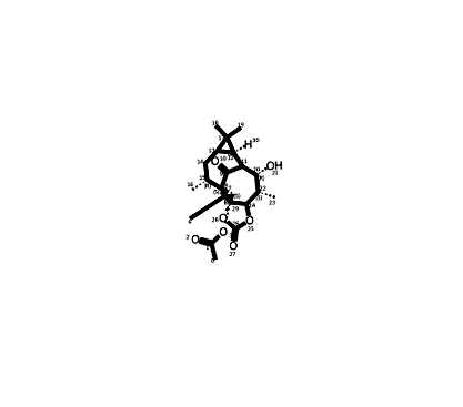 CC(=O)O[C@H]1C(C)=C[C@@]23C(=O)C([C@H]4C(C[C@H]2C)C4(C)C)[C@H](O)[C@H](C)C2OC(=O)O[C@@]213